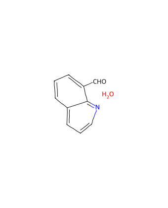 O.O=Cc1cccc2cccnc12